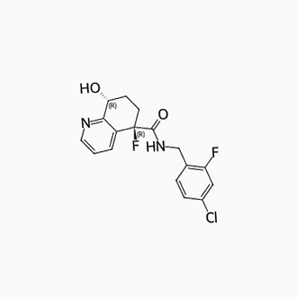 O=C(NCc1ccc(Cl)cc1F)[C@@]1(F)CC[C@@H](O)c2ncccc21